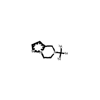 [2H]C([2H])([2H])N1CCn2n[c]cc2C1